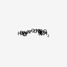 Nc1ncnc2c1c(-c1ccc(Oc3ccccc3)cc1)nn2C1CCCN(CCOCCOCCC2CCN(c3ccc4c(c3)CN(C3CCC(=O)NC3=O)C4=O)CC2)C1